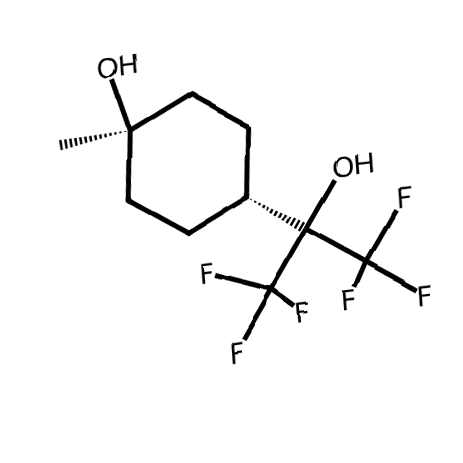 C[C@]1(O)CC[C@H](C(O)(C(F)(F)F)C(F)(F)F)CC1